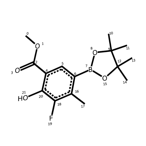 COC(=O)c1cc(B2OC(C)(C)C(C)(C)O2)c(C)c(F)c1O